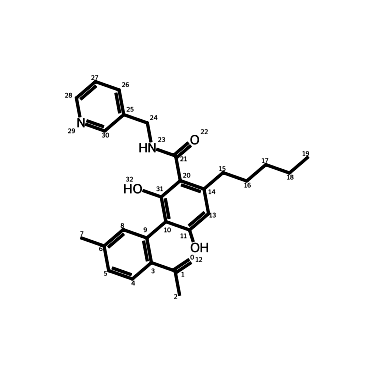 C=C(C)c1ccc(C)cc1-c1c(O)cc(CCCCC)c(C(=O)NCc2cccnc2)c1O